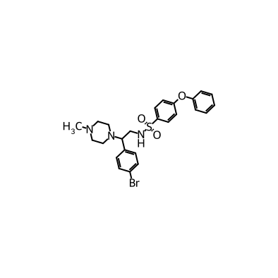 CN1CCN(C(CNS(=O)(=O)c2ccc(Oc3ccccc3)cc2)c2ccc(Br)cc2)CC1